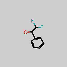 [O]C(c1ccccc1)C(F)F